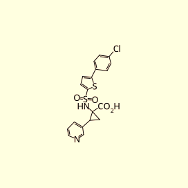 O=C(O)C1(NS(=O)(=O)c2ccc(-c3ccc(Cl)cc3)s2)CC1c1cccnc1